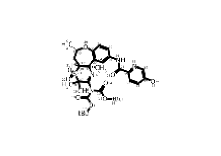 C[C@H]1C[C@@H]2[C@](C)(N=C(N(C(=O)OC(C)(C)C)C(=O)OC(C)(C)C)C(C)(C)S2(=O)=O)c2cc(NC(=O)c3ccc(O)cn3)ccc2O1